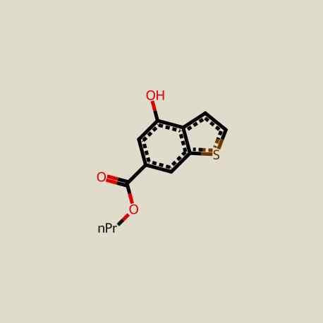 CCCOC(=O)c1cc(O)c2ccsc2c1